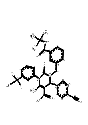 CC(=O)C1=C(C)N(c2cccc(C(F)(F)F)c2)C(=O)N(Cc2cccc(C(=O)OC(C)(C)C)c2)C1c1ccc(C#N)nc1